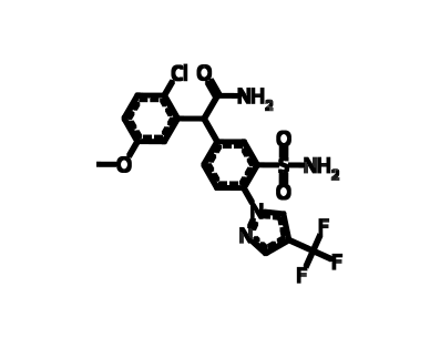 COc1ccc(Cl)c(C(C(N)=O)c2ccc(-n3cc(C(F)(F)F)cn3)c(S(N)(=O)=O)c2)c1